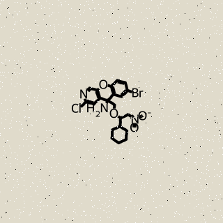 NC1(COC(C[N+](=O)[O-])C2CCCCC2)c2cc(Br)ccc2Oc2cnc(Cl)cc21